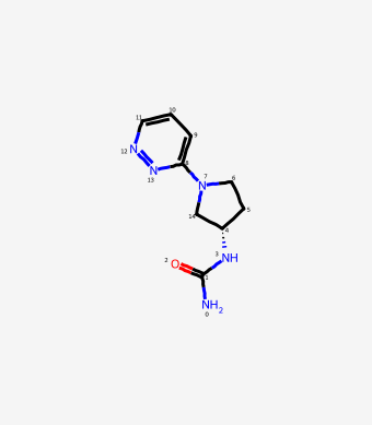 NC(=O)N[C@H]1CCN(c2cccnn2)C1